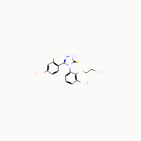 CCCOc1c(C)cccc1-n1c(-c2ccc(O)cc2O)n[nH]c1=S